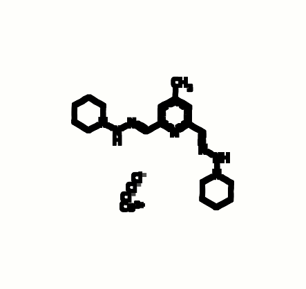 Cc1cc(C=NNN2CCCCC2)nc(C=NNN2CCCCC2)c1.[Cl-].[Cl-].[Cl-].[Co+3]